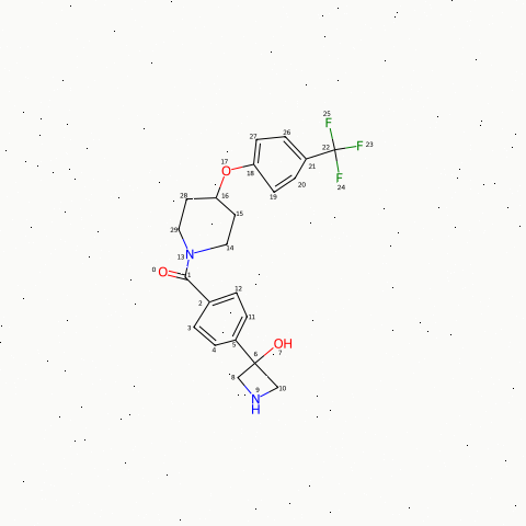 O=C(c1ccc(C2(O)CNC2)cc1)N1CCC(Oc2ccc(C(F)(F)F)cc2)CC1